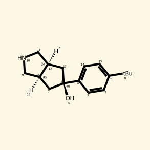 CC(C)(C)c1ccc([C@]2(O)C[C@H]3CNC[C@H]3C2)cc1